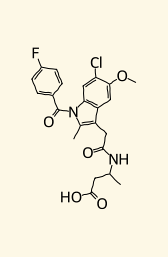 COc1cc2c(CC(=O)NC(C)CC(=O)O)c(C)n(C(=O)c3ccc(F)cc3)c2cc1Cl